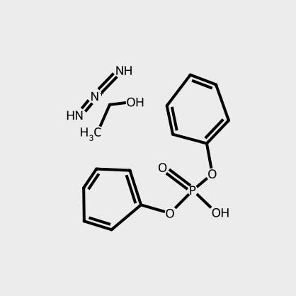 CCO.N=[N+]=N.O=P(O)(Oc1ccccc1)Oc1ccccc1